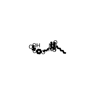 CCCCCCCn1c(=O)c(NCCCOc2ccc(OC(C)(C)C(=O)O)cc2)nn(C)c1=O